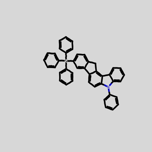 c1ccc(-n2c3ccccc3c3c4c(ccc32)-c2cc([Si](c3ccccc3)(c3ccccc3)c3ccccc3)ccc2C4)cc1